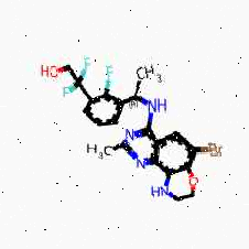 Cc1nc(N[C@H](C)c2cccc(C(F)(F)CO)c2F)c2cc(Br)c3c(c2n1)NCCO3